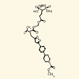 COC(=O)N1CC=C(c2ccc(-c3cc(CN(C(C)=O)C(=O)OCOC(=O)CCC(P(=O)(O)O)P(=O)(O)O)on3)cc2)CC1